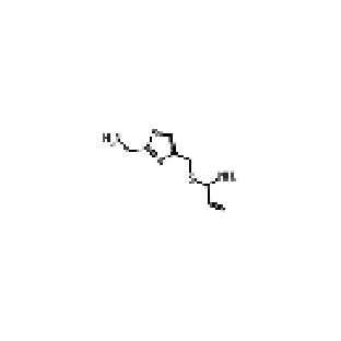 C=CC(N)SCc1csc(CN)n1